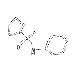 O=S(=O)(Nc1ccncc1)n1cccc1